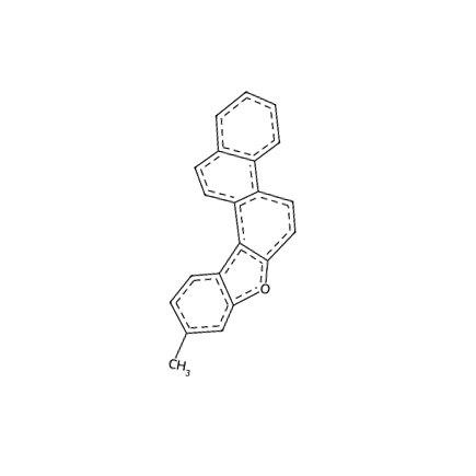 Cc1ccc2c(c1)oc1ccc3c4ccccc4ccc3c12